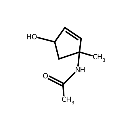 CC(=O)NC1(C)C=CC(O)C1